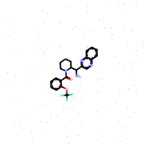 NC(c1cnc2ccccc2n1)C1CCCCN1C(=O)c1ccccc1OC(F)(F)F